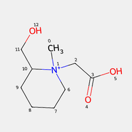 C[N+]1(CC(=O)O)CCCCC1CO